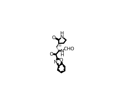 O=CN[C@@H](C[C@@H]1CCNC1=O)C(=O)c1nc2ccccc2o1